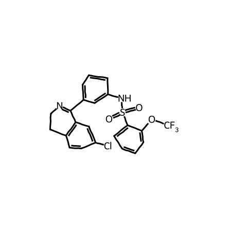 O=S(=O)(Nc1cccc(C2=NCCc3ccc(Cl)cc32)c1)c1ccccc1OC(F)(F)F